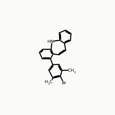 Cc1cc(-c2cccc3c2C=Cc2ccccc2N3)cc(C)c1Br